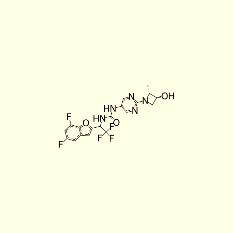 C[C@@H]1[C@@H](O)CN1c1ncc(NC(=O)NC(c2cc3cc(F)cc(F)c3o2)C(F)(F)F)cn1